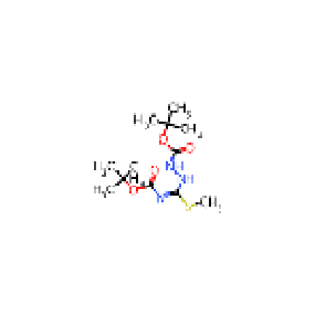 CSC(=NC(=O)OC(C)(C)C)NNC(=O)OC(C)(C)C